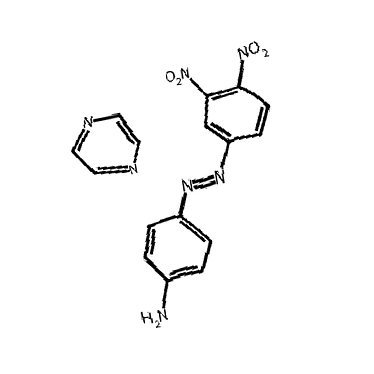 Nc1ccc(N=Nc2ccc([N+](=O)[O-])c([N+](=O)[O-])c2)cc1.c1cnccn1